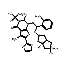 COc1ccccc1C(CN1c2sc(-c3ncco3)c(C)c2C(=O)N(C(C)(C)C(=O)O)C1O)O[C@H]1CC2C[C@@](C)(O)C[C@H]2C1